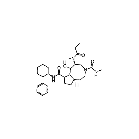 CCC(=O)N[C@H]1CN(C(=O)NC)CC[C@H]2CCC(C(=O)N[C@@H]3CCCC[C@H]3c3ccccc3)N2C1O